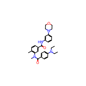 CCN(CC)c1ccc(C(=O)N(C)c2cc(C(=O)Nc3cccc(N4CCOCC4)c3)ccc2C)cc1